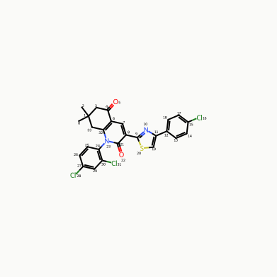 CC1(C)CC(=O)c2cc(-c3nc(-c4ccc(Cl)cc4)cs3)c(=O)n(-c3ccc(Cl)cc3Cl)c2C1